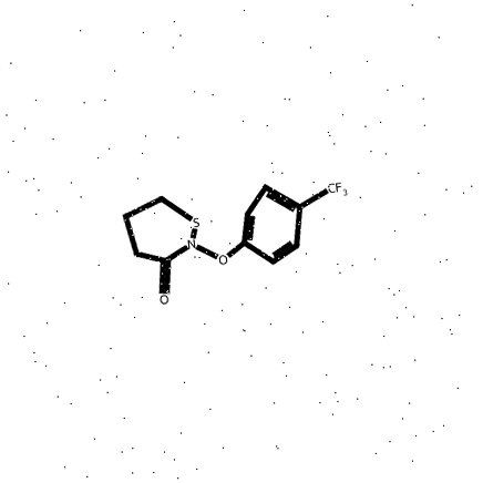 O=C1CCCSN1Oc1ccc(C(F)(F)F)cc1